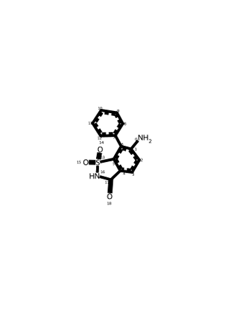 Nc1ccc2c(c1-c1ccccc1)S(=O)(=O)NC2=O